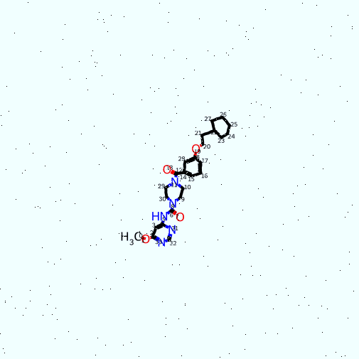 COc1cc(NC(=O)N2CCN(C(=O)c3cccc(OCCC4CCCCC4)c3)CC2)ncn1